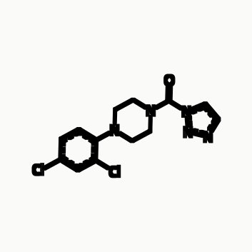 O=C(N1CCN(c2ccc(Cl)cc2Cl)CC1)n1ccnn1